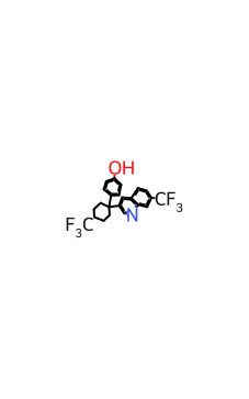 Oc1ccc(C2(c3cnc4cc(C(F)(F)F)ccc4c3)CCC(C(F)(F)F)CC2)cc1